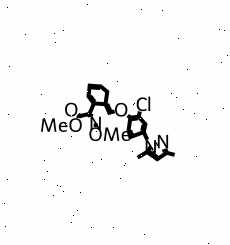 CON=C(C(=O)OC)C1=CC=CCC1=COc1ccc(-n2nc(C)cc2C)cc1Cl